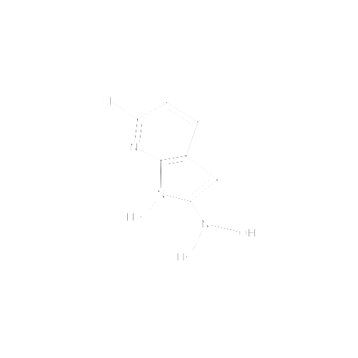 Cn1c(N(O)O)cc2ccc(Cl)nc21